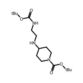 CC(C)(C)OC(=O)NCCNC1CCN(C(=O)OC(C)(C)C)CC1